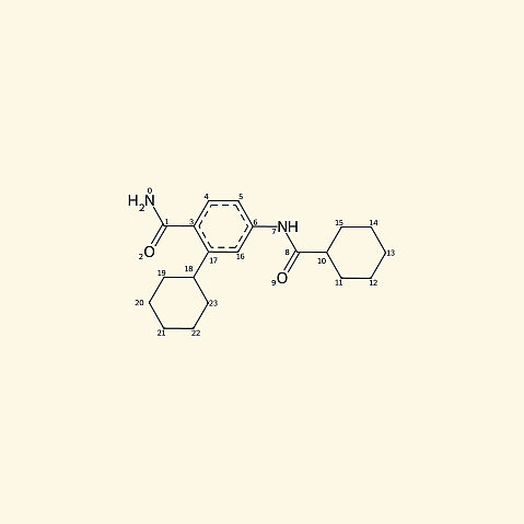 NC(=O)c1ccc(NC(=O)C2CCCCC2)cc1C1CCCCC1